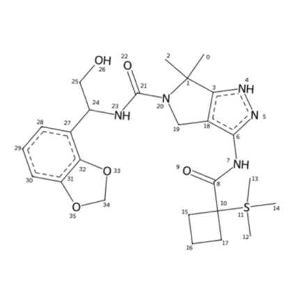 CC1(C)c2[nH]nc(NC(=O)C3(S(C)(C)C)CCC3)c2CN1C(=O)NC(CO)c1cccc2c1OCO2